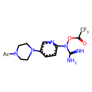 CC(=O)N1CCN(c2ccc(N(OC(=O)C(F)(F)F)C(=N)N)nc2)CC1